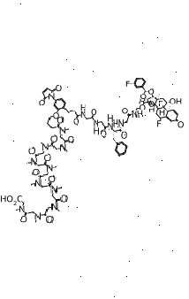 CN(CC(=O)O)C(=O)CN(C)C(=O)CN(C)C(=O)CN(C)C(=O)CN(C)C(=O)CN(C)C(=O)CN(C)C(=O)CN(C)C(=O)CN(C)C(=O)CN(C)C(=O)CCCOc1cc(N2C(=O)C=CC2=O)ccc1CCC(=O)NCC(=O)NCC(=O)N[C@@H](Cc1ccccc1)C(=O)NCC(=O)NCOCC(=O)[C@@]12O[C@H](c3cccc(F)c3)O[C@@H]1C[C@H]1[C@@H]3C[C@H](F)C4=CC(=O)C=C[C@]4(C)[C@@]3(F)[C@@H](O)C[C@@]12C